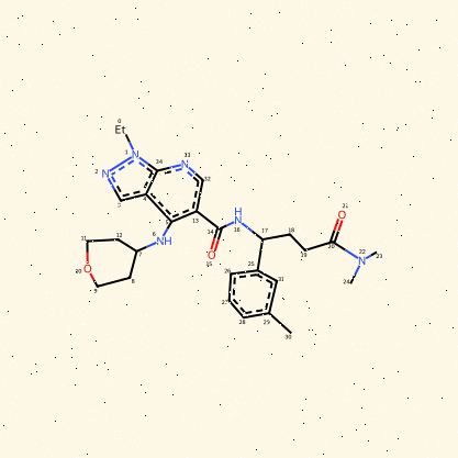 CCn1ncc2c(NC3CCOCC3)c(C(=O)NC(CCC(=O)N(C)C)c3cccc(C)c3)cnc21